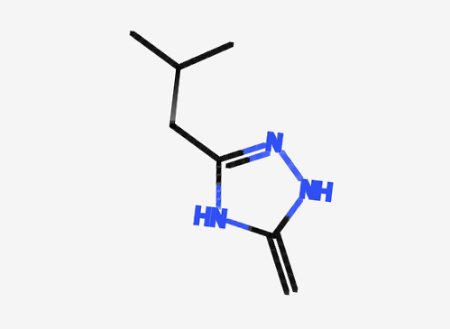 C=C1NN=C(CC(C)C)N1